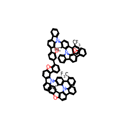 N#Cc1c(-n2c3ccccc3c3ccc4c5ccc(-c6cccc7c6oc6ccc8c9ccccc9n(-c9ccc(-c%10ccccc%10C(F)(F)F)c(-n%10c%11ccccc%11c%11ccc%12oc%13ccccc%13c%12c%11%10)c9C#N)c8c67)cc5oc4c32)ccc(-c2ccccc2C(F)(F)F)c1-n1c2ccccc2c2ccc3c4ccccc4oc3c21